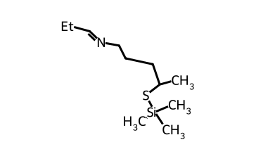 CCC=NCCCC(C)S[Si](C)(C)C